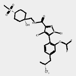 CCn1nc(C(=O)NC[C@]2(O)CC[C@@H](S(C)(=O)=O)CC2)c(Cl)c1-c1ccc(C[C@@H](C)C(F)(F)F)cc1OC(F)F